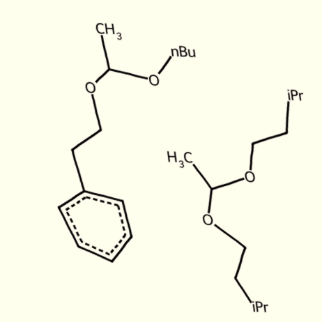 CC(C)CCOC(C)OCCC(C)C.CCCCOC(C)OCCc1ccccc1